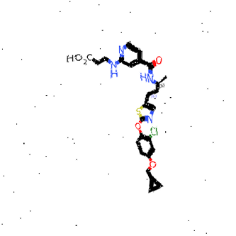 C[C@@H](/C=C/c1cnc(Oc2ccc(OCC3CC3)cc2Cl)s1)NC(=O)c1ccnc(NCCC(=O)O)c1